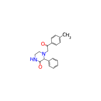 Cc1ccc(C(=O)CN2CCNC(=O)C2c2ccccc2)cc1